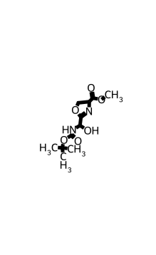 COC(=O)C1COC(C(O)NC(=O)OC(C)(C)C)=N1